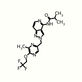 Cc1nc(Cn2cc3c(NC(=O)C(C)C)nccc3n2)cnc1OCC(F)(F)F